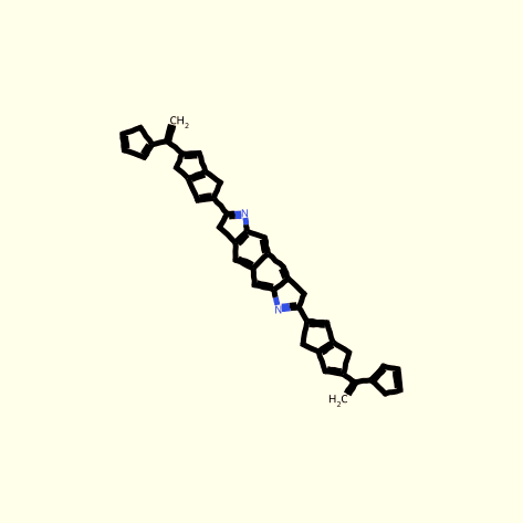 C=C(C1=CC=CC1)C1=CC2=C(C=C(C3=Nc4cc5cc6c(cc5cc4C3)N=C(C3=CC4=C(C=C(C(=C)C5=CC=CC5)C4)C3)C6)C2)C1